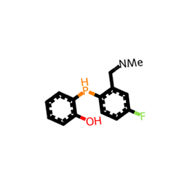 CNCc1cc(F)ccc1Pc1ccccc1O